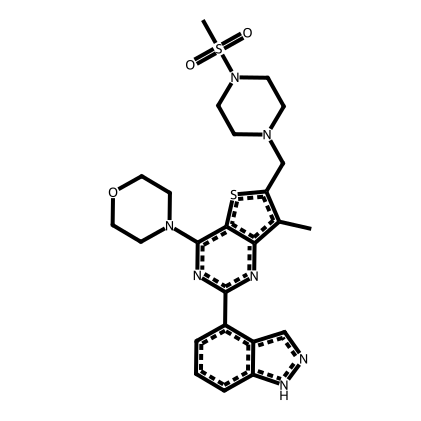 Cc1c(CN2CCN(S(C)(=O)=O)CC2)sc2c(N3CCOCC3)nc(-c3cccc4[nH]ncc34)nc12